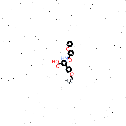 CCCOc1ccc(-c2cc(NC(=O)c3cccc(Oc4ccccc4)c3)cc(C(=O)O)c2)cc1